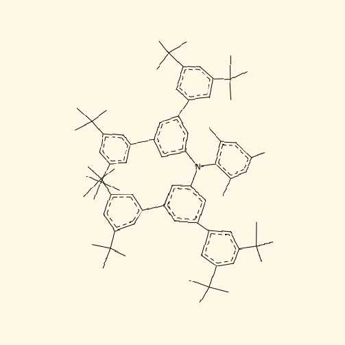 Cc1cc(C)c(N(c2cc(-c3cc(C(C)(C)C)cc(C(C)(C)C)c3)cc(-c3cc(C(C)(C)C)cc(C(C)(C)C)c3)c2)c2cc(-c3cc(C(C)(C)C)cc(C(C)(C)C)c3)cc(-c3cc(C(C)(C)C)cc(C(C)(C)C)c3)c2)c(C)c1